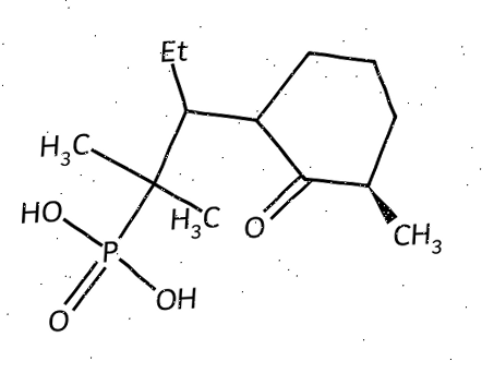 CCC(C1CCC[C@@H](C)C1=O)C(C)(C)P(=O)(O)O